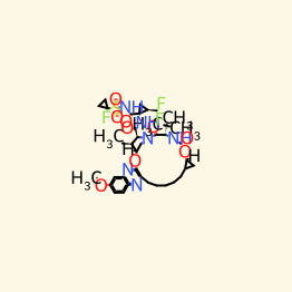 CC[C@@H]1[C@@H]2CN(C(=O)[C@H](C(C)(C)C)NC(=O)O[C@@H]3CC3CCCCCc3nc4ccc(OC)cc4nc3O2)[C@@H]1C(=O)N[C@]1(C(=O)NS(=O)(=O)C2(F)CC2)C[C@H]1C(F)F